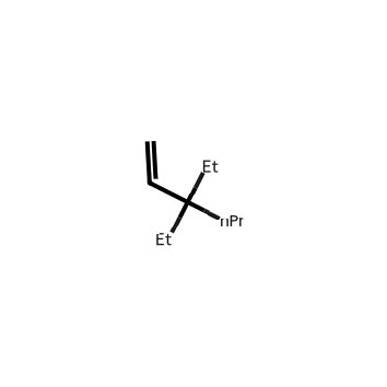 C=CC(CC)(CC)CCC